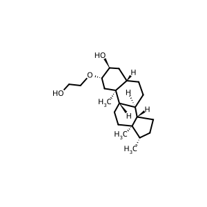 C[C@H]1CC[C@H]2[C@@H]3CC[C@H]4C[C@H](O)[C@@H](OCCO)C[C@]4(C)[C@H]3CC[C@]12C